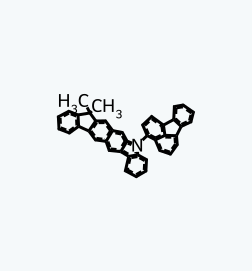 CC1(C)c2ccccc2-c2cc3cc4c5ccccc5n(-c5ccc6c7c(cccc57)-c5ccccc5-6)c4cc3cc21